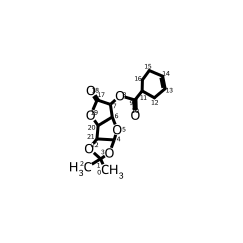 CC1(C)OC2OC3C(OC(=O)C4CC=CCC4)C(=O)OC3C2O1